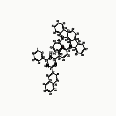 c1ccc(C2=NC(c3ccc4ccccc4c3)=NC(c3ccc(-n4c5ccccc5c5ccc6c7ccccc7n(-c7ccccc7)c6c54)nc3)N2)cc1